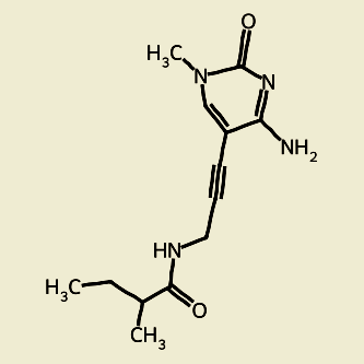 CCC(C)C(=O)NCC#Cc1cn(C)c(=O)nc1N